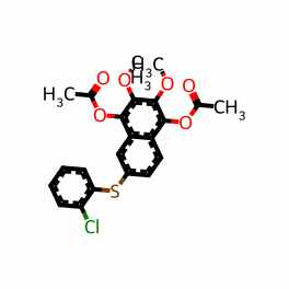 COc1c(OC)c(OC(C)=O)c2cc(Sc3ccccc3Cl)ccc2c1OC(C)=O